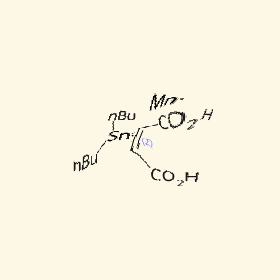 CCC[CH2][Sn][CH2]CCC.O=C(O)/C=C\C(=O)O.[Mn]